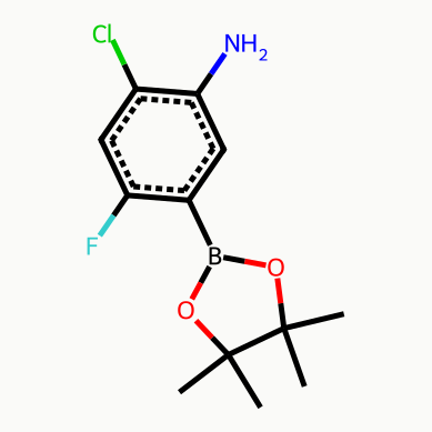 CC1(C)OB(c2cc(N)c(Cl)cc2F)OC1(C)C